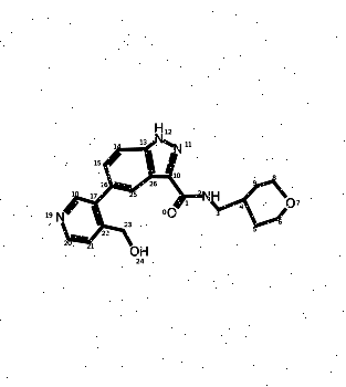 O=C(NCC1CCOCC1)c1n[nH]c2ccc(-c3cnccc3CO)cc12